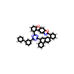 c1ccc(-c2cccc(-c3nc(-c4cc5ccccc5c5ccccc45)nc(-c4cccc5oc6cc7oc(-c8ccccc8)nc7cc6c45)n3)c2)cc1